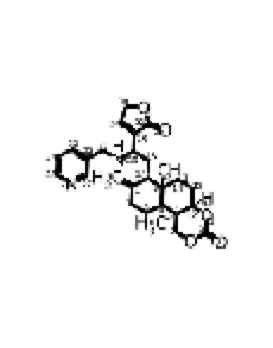 C=C1CCC2[C@]3(C)COC(=O)O[C@@H]3CC[C@@]2(C)[C@@H]1CC(NCc1cccnc1)C1=CCOC1=O